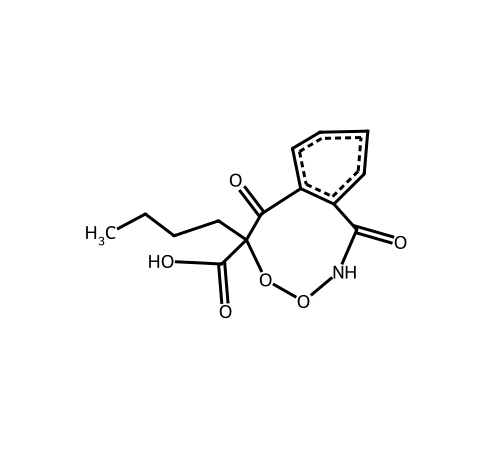 CCCCC1(C(=O)O)OONC(=O)c2ccccc2C1=O